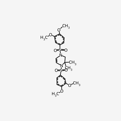 COc1ccc(S(=O)(=O)N2C=CN(S(=O)(=O)c3ccc(OC)c(OC)c3)C(C)(C)C2)cc1OC